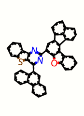 c1cc2c3c(cccc3c1)-c1c-2cc(-c2nc(-c3cc4ccccc4c4ccccc34)c3sc4ccccc4c3n2)c2oc3ccccc3c12